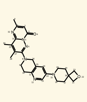 Cc1cc(=O)n2nc(N3CCc4ncc(N5CCC6(CC5)COC6)cc4C3)c(C)c(C)c2n1